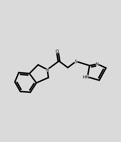 O=C(CSc1ncc[nH]1)N1Cc2ccccc2C1